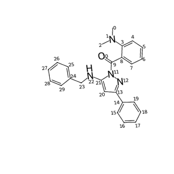 CN(C)c1ccccc1C(=O)n1nc(-c2ccccc2)cc1NCc1ccccc1